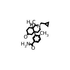 Cc1ccc(C(N)=O)cc1[C@]12CCN(CC3CC3)[C@H](C)[C@@H]1CCC(=O)C2